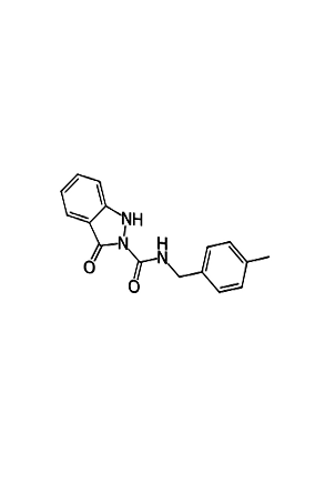 Cc1ccc(CNC(=O)n2[nH]c3ccccc3c2=O)cc1